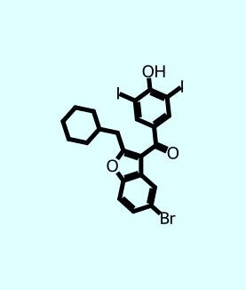 O=C(c1cc(I)c(O)c(I)c1)c1c(CC2CCCCC2)oc2ccc(Br)cc12